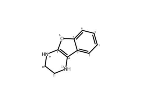 c1ccc2c3c(oc2c1)NCCN3